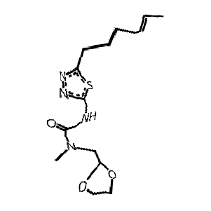 CC=CCCCc1nnc(NC(=O)N(C)CC2OCCO2)s1